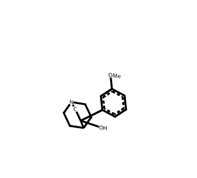 COc1cccc(C2(O)CN3CCC2CC3)c1